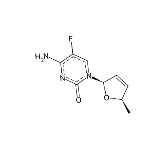 C[C@@H]1C=C[C@H](n2cc(F)c(N)nc2=O)O1